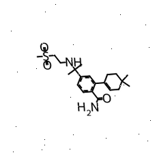 CC1(C)CC=C(c2cc(C(C)(C)NCCS(C)(=O)=O)ccc2C(N)=O)CC1